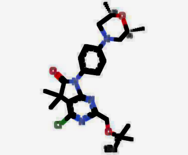 C[C@@H]1CN(c2ccc(N3C(=O)C(C)(C)c4c(Cl)nc(CO[Si](C)(C)C(C)(C)C)nc43)cc2)C[C@H](C)O1